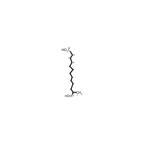 CCCCCCCCC(C)CCCCCCCCCCC(=O)O